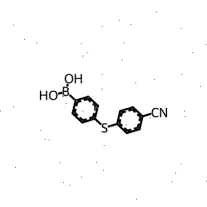 N#Cc1ccc(Sc2ccc(B(O)O)cc2)cc1